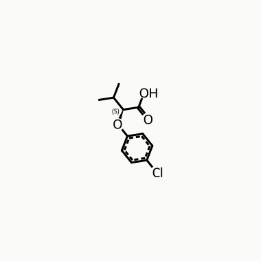 CC(C)[C@H](Oc1ccc(Cl)cc1)C(=O)O